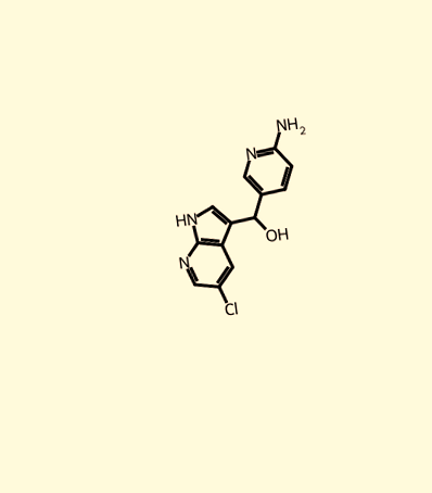 Nc1ccc(C(O)c2c[nH]c3ncc(Cl)cc23)cn1